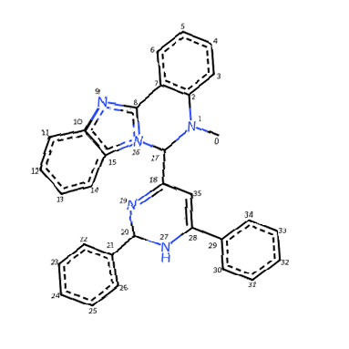 CN1c2ccccc2-c2nc3ccccc3n2C1C1=NC(c2ccccc2)NC(c2ccccc2)=C1